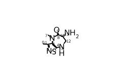 Cc1nsc2c1N(C)C(=O)[C@@H](N)CN2